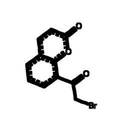 O=C(CBr)c1cccc2ccc(=O)oc12